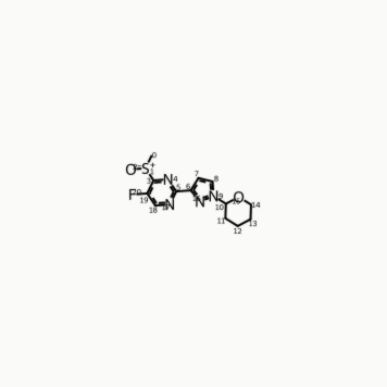 C[S+]([O-])c1nc(-c2ccn(C3CCCCO3)n2)ncc1F